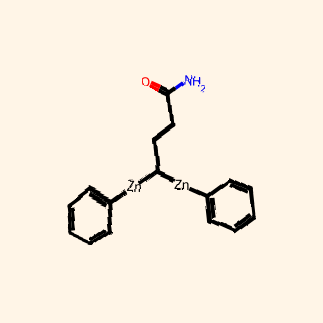 NC(=O)CC[CH]([Zn][c]1ccccc1)[Zn][c]1ccccc1